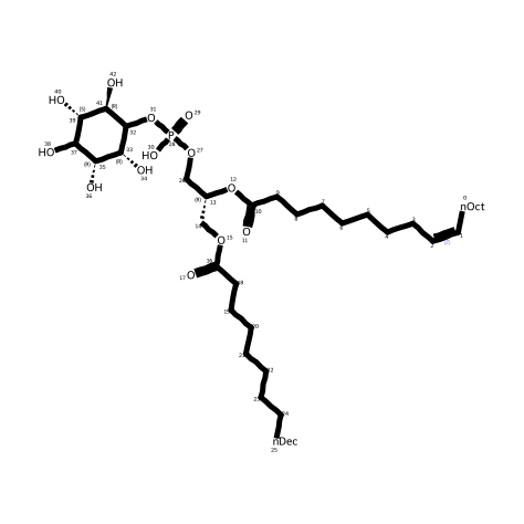 CCCCCCCC/C=C\CCCCCCCC(=O)O[C@H](COC(=O)CCCCCCCCCCCCCCCCC)COP(=O)(O)OC1[C@H](O)[C@H](O)C(O)[C@H](O)[C@H]1O